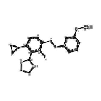 O=C(O)Nc1cccc(COc2ccc(C3CC3)c(C3OCCO3)c2F)c1